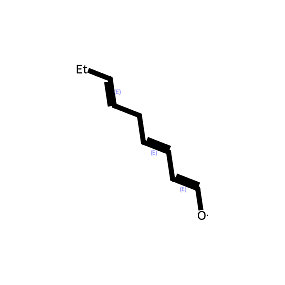 CC/C=C/C/C=C/C=C/[O]